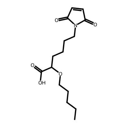 CCCCCOC(CCCCN1C(=O)C=CC1=O)C(=O)O